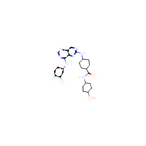 O=C(NC1CCC(O)CC1)C1CCC(Nc2ncc3ncnc(Nc4ccc(F)c(Cl)c4)c3n2)CC1